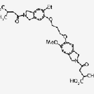 CCc1cc2c(cc1OCCCOc1cc3c(cc1OC)CN(C(=O)CC(C)C(=O)O)C3)CN(C(=O)CC(C)C(=O)O)C2